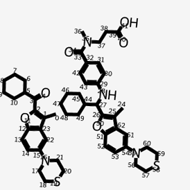 Cc1c(C(=O)C2CCCCC2)oc2ccc(N3CCSCC3)cc12.Cc1c(C(Nc2ccc(C(=O)N(C)CCC(=O)O)cc2)C2CCCCC2)oc2ccc(N3CCSCC3)cc12